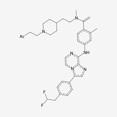 C=C(c1ccc(Nc2nccn3c(-c4ccc(CC(F)F)cc4)cnc23)cc1C)N(C)CCC1CCN(CCC(C)=O)CC1